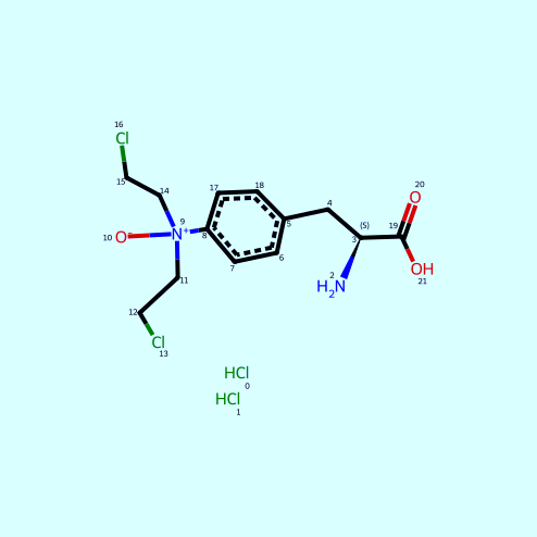 Cl.Cl.N[C@@H](Cc1ccc([N+]([O-])(CCCl)CCCl)cc1)C(=O)O